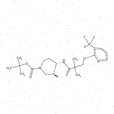 CC(C)(C)OC(=O)N1CC[C@H](NC(=O)C(C)(C)COc2ncccc2C(F)(F)F)[C@@H](F)C1